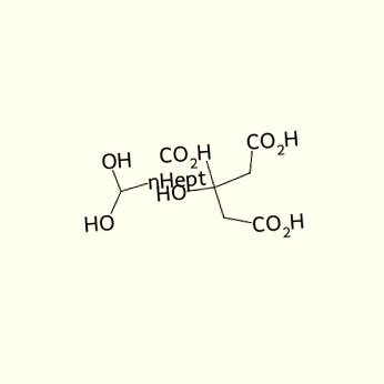 CCCCCCCC(O)O.O=C(O)CC(O)(CC(=O)O)C(=O)O